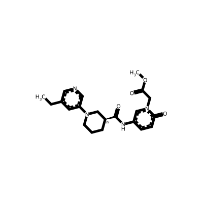 CCc1cncc(N2CCC[C@H](C(=O)Nc3ccc(=O)n(CC(=O)OC)c3)C2)c1